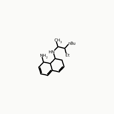 CCCCC(CC)C(C)NC1CC=CC2=CC=CC(N)C21